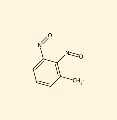 [CH2]c1cccc(N=O)c1N=O